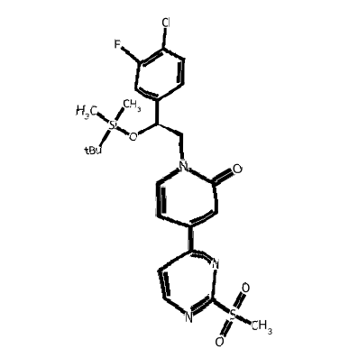 CC(C)(C)[Si](C)(C)O[C@H](Cn1ccc(-c2ccnc(S(C)(=O)=O)n2)cc1=O)c1ccc(Cl)c(F)c1